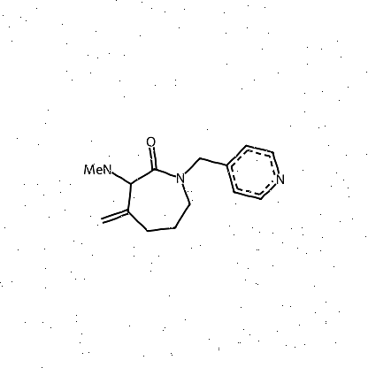 C=C1CCCN(Cc2ccncc2)C(=O)C1NC